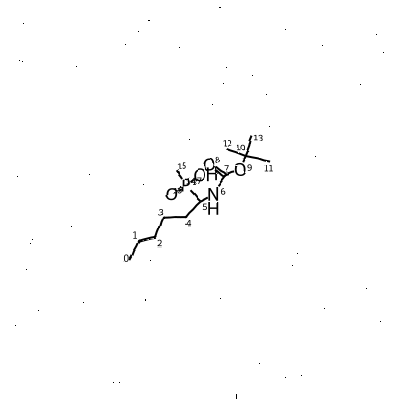 CCCCCC(NC(=O)OC(C)(C)C)P(C)(=O)O